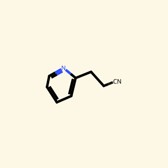 N#CCCc1ccccn1